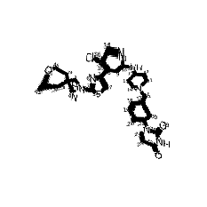 N#CC1(CNc2nc(-c3cc(NC4CCN(Cc5cccc(N6CCC(=O)NC6=O)c5)CC4)ncc3Cl)cs2)CCOCC1